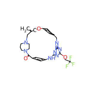 C=C1COc2ccc(cc2)CNc2nc(nc(OCC(F)(F)F)n2)Nc2ccc(cc2)C(=O)N2CCCN(CC2)C1